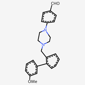 COc1cccc(-c2ccccc2CN2CCN(c3ccc(C=O)cc3)CC2)c1